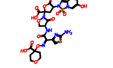 Nc1nc(/C(=N/OC2(C(=O)O)CCOCC2)C(=O)N[C@H]2CON(C3(C(=O)O)CC(N4C=C5C=C(O)C(O)=CN5S4(=O)=O)C(=O)O3)C2=O)cs1